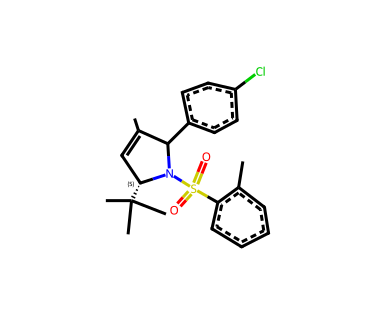 CC1=C[C@@H](C(C)(C)C)N(S(=O)(=O)c2ccccc2C)C1c1ccc(Cl)cc1